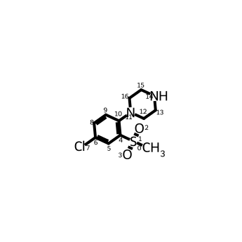 CS(=O)(=O)c1cc(Cl)ccc1N1CCNCC1